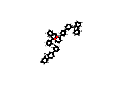 c1cc(-c2ccc3c(c2)oc2ccccc23)cc(N(c2ccc(-c3ccc(-c4cccc(-n5c6ccccc6c6ccccc65)c4)cc3)cc2)c2ccccc2-c2cccc3ccccc23)c1